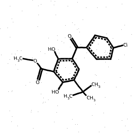 COC(=O)c1c(O)c(C(=O)c2ccc(Cl)cc2)cc(C(C)(C)C)c1O